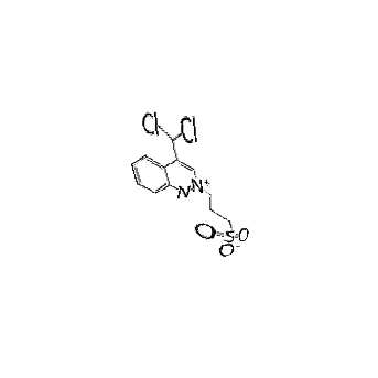 O=S(=O)([O-])CCC[n+]1cc(C(Cl)Cl)c2ccccc2n1